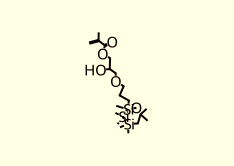 C=C(C)C(=O)OCC(O)COCCC[Si]1(C)OC(C)(C)C[Si](C)(C)[Si]1(C)C